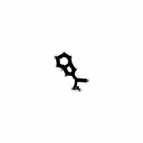 CC(=O)c1[c]c2ccocc-2c1